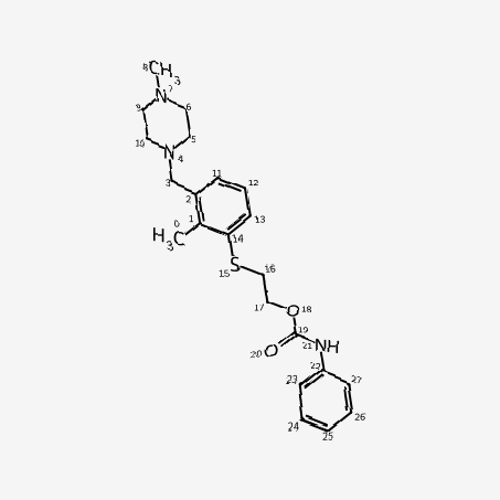 Cc1c(CN2CCN(C)CC2)cccc1SCCOC(=O)Nc1ccccc1